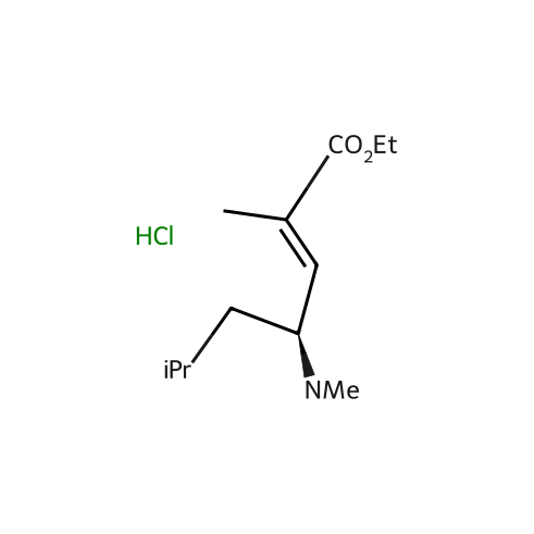 CCOC(=O)C(C)=C[C@H](CC(C)C)NC.Cl